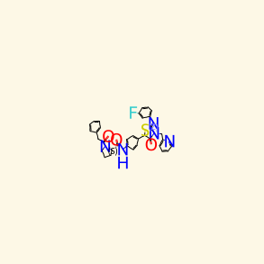 O=C(Nc1ccc(C2S/C(=N\c3cccc(F)c3)N(Cc3ccccn3)C2=O)cc1)[C@@H]1CCCN1C(=O)Cc1ccccc1